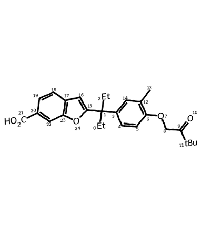 CCC(CC)(c1ccc(OCC(=O)C(C)(C)C)c(C)c1)c1cc2ccc(C(=O)O)cc2o1